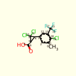 Cc1cc(C2[C@@H](C(=O)O)C2(Cl)Cl)cc(C(F)(F)F)c1Cl